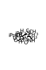 CC(C)[Si]1(C(C)C)OOC[C@H]2O[C@@H](n3ccc(=O)[nH]c3=O)[C@@](F)(C#C[Si](C)(C)C)[C@@H]2O1